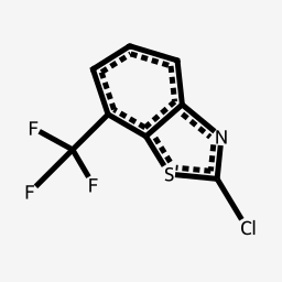 FC(F)(F)c1cccc2nc(Cl)sc12